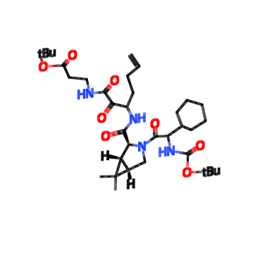 C=CCCC(NC(=O)[C@@H]1[C@@H]2[C@H](CN1C(=O)C(NC(=O)OC(C)(C)C)C1CCCCC1)C2(C)C)C(=O)C(=O)NCCC(=O)OC(C)(C)C